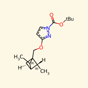 C[C@@H]1C2CC1(COc1ccn(C(=O)OC(C)(C)C)n1)[C@@H]2C